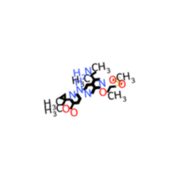 CC[C@@](C)(N)c1cnc(O[C@H](C)CCS(C)(=O)=O)c2cnc(Nc3ccc4c(n3)C3(CC3)C(C)(C)OC4=O)cc12